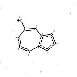 CC(C)C1=Cc2sccc2N=C=C1